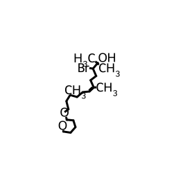 CC(=CCCC(C)CCOC1CCCCO1)CCC(Br)C(C)(C)O